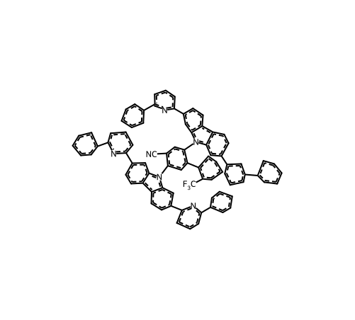 N#Cc1cc(-n2c3cc(-c4cccc(-c5ccccc5)c4)ccc3c3ccc(-c4cccc(-c5ccccc5)n4)cc32)c(-c2ccccc2C(F)(F)F)cc1-n1c2cc(-c3cccc(-c4ccccc4)n3)ccc2c2ccc(-c3cccc(-c4ccccc4)n3)cc21